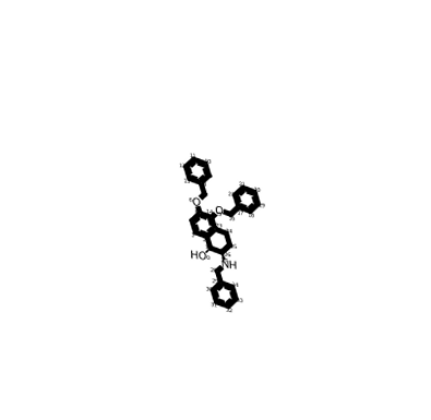 O[C@@H]1c2ccc(OCc3ccccc3)c(OCc3ccccc3)c2CC[C@H]1NCc1ccccc1